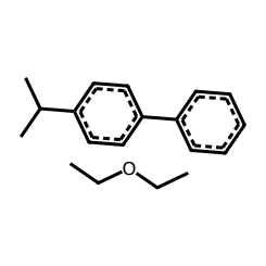 CC(C)c1ccc(-c2ccccc2)cc1.CCOCC